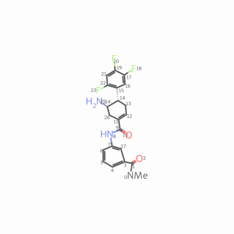 CNC(=O)c1cccc(NC(=O)C2=CC[C@@H](c3cc(F)c(F)cc3F)[C@H](N)C2)c1